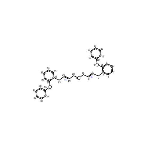 C(=C\Cc1ccccc1Oc1ccccc1)/COC/C=C/Cc1ccccc1Oc1ccccc1